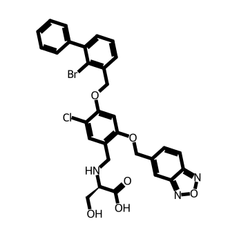 O=C(O)[C@@H](CO)NCc1cc(Cl)c(OCc2cccc(-c3ccccc3)c2Br)cc1OCc1ccc2nonc2c1